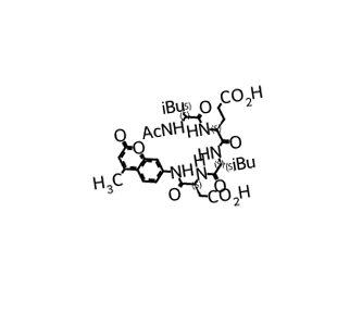 CC[C@H](C)[C@H](NC(C)=O)C(=O)N[C@@H](CCC(=O)O)C(=O)N[C@H](C(=O)N[C@@H](CC(=O)O)C(=O)Nc1ccc2c(C)cc(=O)oc2c1)[C@@H](C)CC